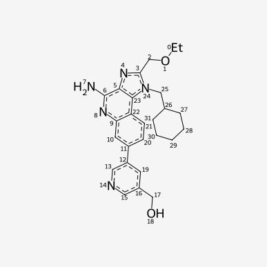 CCOCc1nc2c(N)nc3cc(-c4cncc(CO)c4)ccc3c2n1CC1CCCCC1